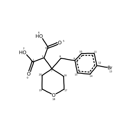 O=C(O)C(C(=O)O)C1(Cc2ccc(Br)cc2)CCOCC1